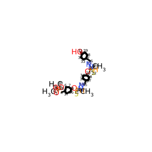 COP(=O)(Cc1ccc(O[PH](=S)N(C)/N=C/c2ccc(O[PH](=S)N(C)/N=C/c3ccc(O)cc3)cc2)cc1)OC